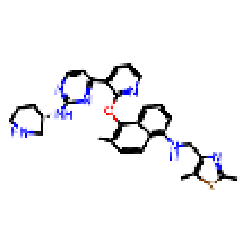 Cc1nc(CNc2cccc3c(Oc4ncccc4-c4ccnc(N[C@H]5CCCNC5)n4)c(C)ccc23)c(C)s1